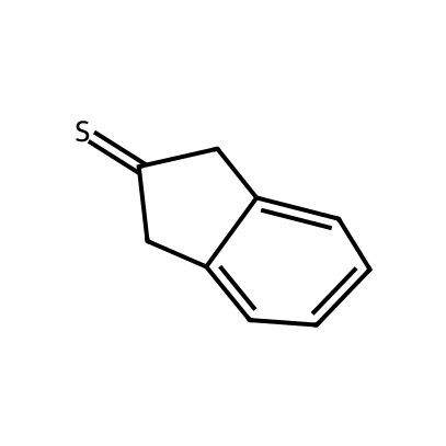 S=C1Cc2ccccc2C1